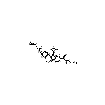 CCCNC(=O)c1ccc2c(N)c(-c3ccc(NC(=O)OCC4CC4)cc3)n(C3CCC3)c2c1